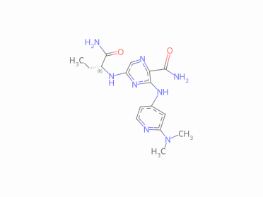 CC[C@@H](Nc1cnc(C(N)=O)c(Nc2ccnc(N(C)C)c2)n1)C(N)=O